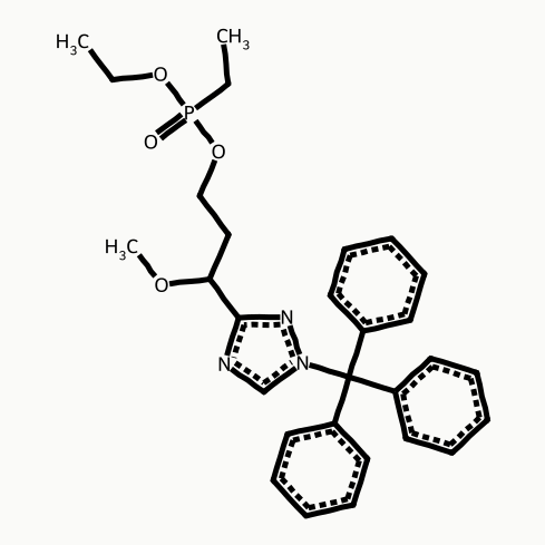 CCOP(=O)(CC)OCCC(OC)c1ncn(C(c2ccccc2)(c2ccccc2)c2ccccc2)n1